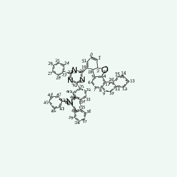 C1=CC2Oc3c(ccc4ccc5ccccc5c34)C2C(c2nc(-c3ccccc3)nc(-c3ccc4c5ccccc5n(-c5ccccc5)c4c3)n2)=C1